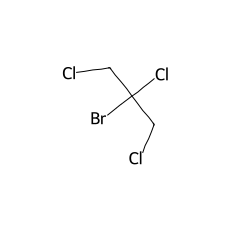 ClCC(Cl)(Br)CCl